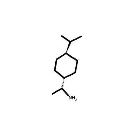 CC(C)[C@H]1CC[C@H](C(C)N)CC1